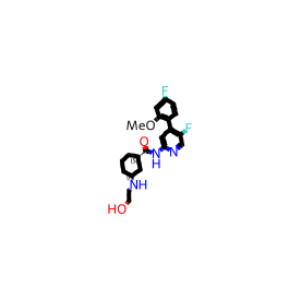 COc1cc(F)ccc1-c1cc(NC(=O)[C@H]2CCC[C@@H](NCCO)C2)ncc1F